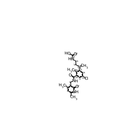 Cc1cc(C)c(CNC(=O)c2cc(Cl)cc(N(C)CCNC(=O)O)c2C)c(=O)[nH]1